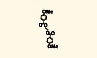 COc1ccc(C(=O)OCCOC(=O)c2ccc(OC)cc2)cc1